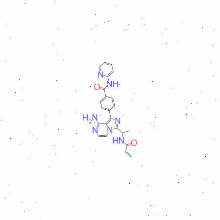 C=CC(=O)NC(C)c1nc(-c2ccc(C(=O)Nc3ccccn3)cc2)c2c(N)nccn12